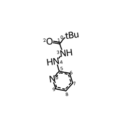 CC(C)(C)C(=O)NNc1ccccn1